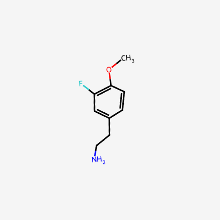 COc1ccc(CCN)cc1F